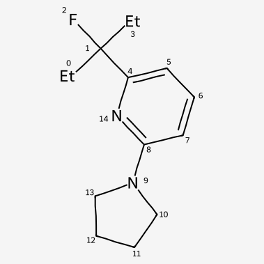 CCC(F)(CC)c1cccc(N2CCCC2)n1